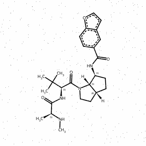 CN[C@@H](C)C(=O)N[C@H](C(=O)N1CC[C@H]2CC[C@H](NC(=O)c3ccc4occc4c3)[C@H]21)C(C)(C)C